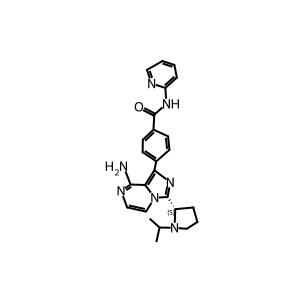 CC(C)N1CCC[C@H]1c1nc(-c2ccc(C(=O)Nc3ccccn3)cc2)c2c(N)nccn12